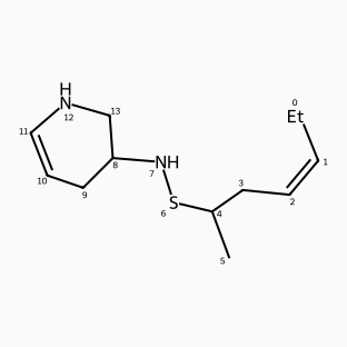 CC/C=C\CC(C)SNC1CC=CNC1